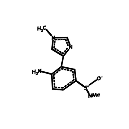 CN[S+]([O-])c1ccc(N)c(-c2cn(C)cn2)c1